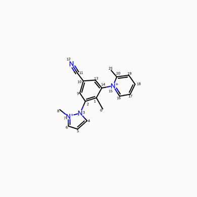 Cc1c(-n2ccc[n+]2C)cc(C#N)cc1-[n+]1ccccc1C